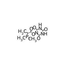 C=C(C(=O)On1c(=O)[nH]c(=O)[nH]c1=O)P(C)C